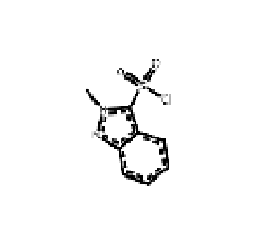 Cn1nc2ccccc2c1S(=O)(=O)Cl